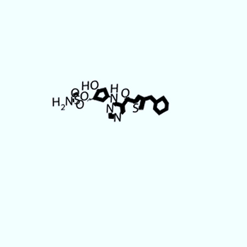 NS(=O)(=O)OC[C@H]1C[C@@H](Nc2ncncc2C(=O)c2cc(CC3CCCCC3)cs2)C[C@@H]1O